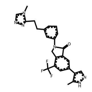 Cc1[nH]ncc1-c1cc2c(c(C(F)(F)F)c1)CN(c1cccc(CCc3nncn3C)c1)C2=O